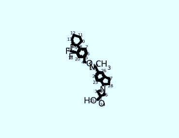 C/C(=N\OCc1ccc(C2CCCCC2)c(C(F)(F)F)c1)c1ccc2c(c1)CCC2N1CC(C(=O)O)C1